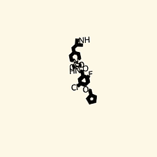 O=C(NS(=O)(=O)N1CCC(CC2CNC2)CC1)c1cc(Cl)c(OCC2CCCC2)cc1F